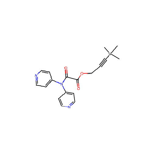 C[Si](C)(C)C#CCOC(=O)C(=O)N(c1ccncc1)c1ccncc1